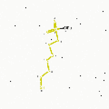 CC(C)COS(=S)(=S)SSSSSSS